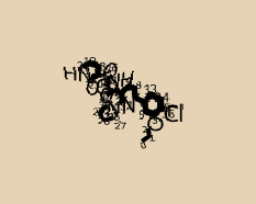 CCCOc1cc(-c2ccc(C(=O)NS(=O)(=O)c3ccc[nH]c3=O)c(N3[C@H](C)CC[C@@H]3C)n2)ccc1Cl